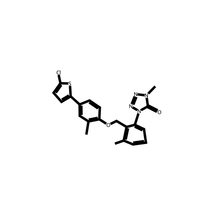 Cc1cc(-c2ccc(Cl)s2)ccc1OCc1c(C)cccc1-n1nnn(C)c1=O